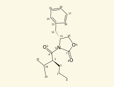 CCC[C@H](C(=O)N1C(=O)OC[C@H]1Cc1ccccc1)C(C)C